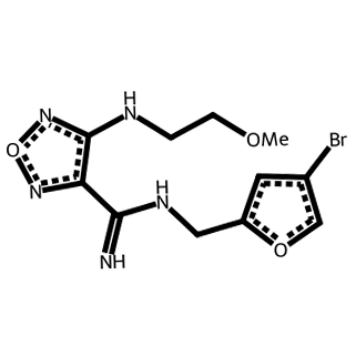 COCCNc1nonc1C(=N)NCc1cc(Br)co1